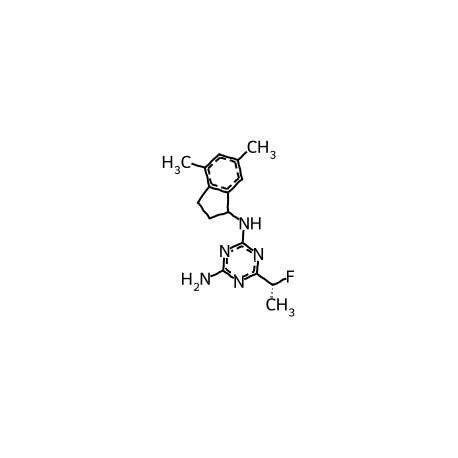 Cc1cc(C)c2c(c1)C(Nc1nc(N)nc([C@@H](C)F)n1)CC2